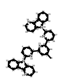 Cc1cc(-c2cccc(-n3c4ccccc4c4ncccc43)n2)nc(-c2cccc(-n3c4ccccc4c4ncccc43)n2)c1